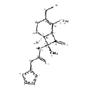 CO[C@]1(NC(=O)Cc2cccs2)C(=O)N2C(C(=O)O)=C(CI)CS[C@@H]21